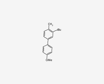 CCC(C)c1cc(-c2ccc(OC)cc2)ccc1C